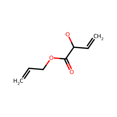 C=CCOC(=O)C([O])C=C